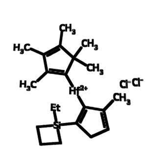 CC[Si]1(C2=[C]([Hf+2][C]3=C(C)C(C)=C(C)C3(C)C)C(C)=CC2)CCC1.[Cl-].[Cl-]